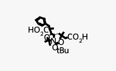 CC(C)(CC(=O)O)C[C@H]1[C@H]([C@@](C)(Cc2ccccc2)C(=O)O)OC(C)(C)N1C(=O)OC(C)(C)C